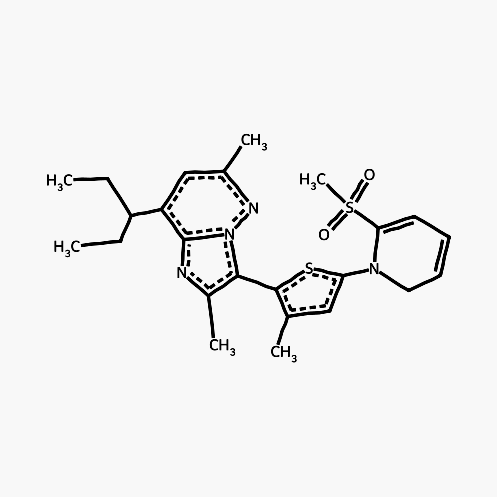 CCC(CC)c1cc(C)nn2c(-c3sc(N4CC=CC=C4S(C)(=O)=O)cc3C)c(C)nc12